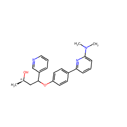 C[C@@H](O)CC(Oc1ccc(-c2cccc(N(C)C)n2)cc1)c1cccnc1